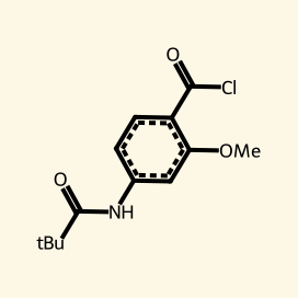 COc1cc(NC(=O)C(C)(C)C)ccc1C(=O)Cl